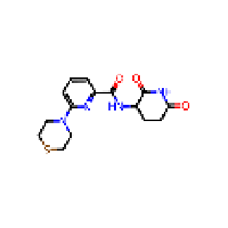 O=C1CCC(NC(=O)c2cccc(N3CCSCC3)n2)C(=O)N1